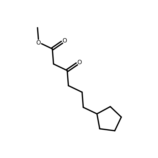 COC(=O)CC(=O)CCCC1CCCC1